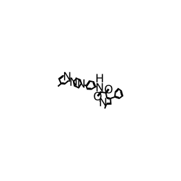 Cc1ccnc(N2CCN(c3ccc(NC(=O)C(=O)c4c(-c5ccccc5)cc(C)n4C)cc3)CC2)c1